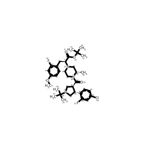 COc1ccc(C[C@@H](C(=O)OC(C)(C)C)N2CCN(C(=O)[C@@H]3CN(C(C)(C)C)C[C@H]3c3ccc(Cl)cc3F)[C@@H](C)C2)c(F)c1